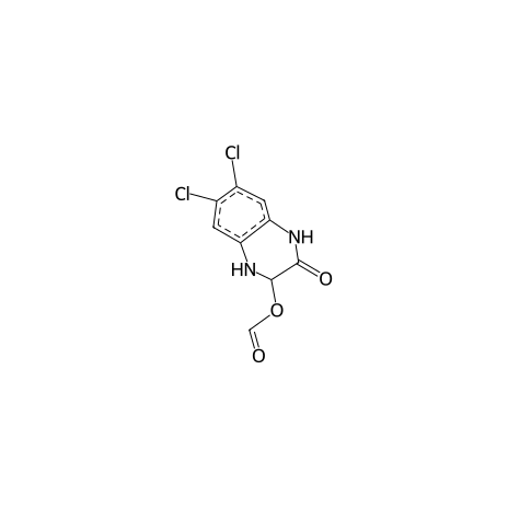 O=COC1Nc2cc(Cl)c(Cl)cc2NC1=O